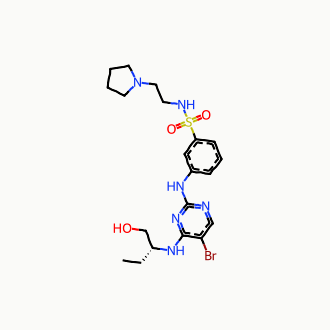 CC[C@H](CO)Nc1nc(Nc2cccc(S(=O)(=O)NCCN3CCCC3)c2)ncc1Br